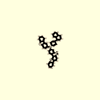 CS1(C)c2cc(N(c3ccc(-c4cccc5ccccc45)cc3)c3ccc4oc5ccccc5c4c3)ccc2-c2c1ccc1c2sc2ccccc21